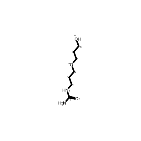 NC(=O)NCCCOCCCO